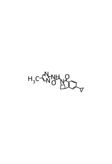 Cc1cnc(NC(=O)CN2C(=O)c3ccc(C4CC4)cc3C3CC2C3)nc1